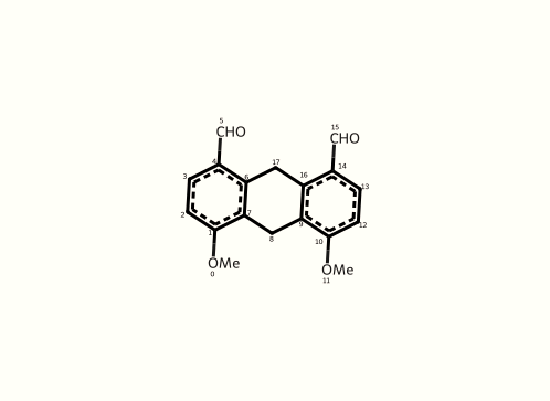 COc1ccc(C=O)c2c1Cc1c(OC)ccc(C=O)c1C2